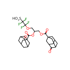 O=C1C2CC3CC1CC(C(=O)OCC(COC(F)(F)C(F)(F)S(=O)(=O)O)OC(=O)C14CC5CC(C1)C(=O)C(C5)C4)(C3)C2